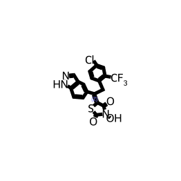 O=C1S/C(=C(/Cc2ccc(Cl)cc2C(F)(F)F)c2ccc3[nH]ncc3c2)C(=O)N1O